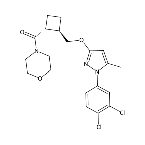 Cc1cc(OC[C@@H]2CC[C@H]2C(=O)N2CCOCC2)nn1-c1ccc(Cl)c(Cl)c1